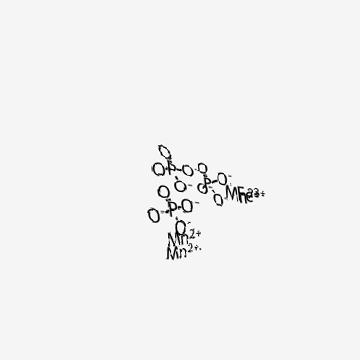 O=P([O-])([O-])[O-].O=P([O-])([O-])[O-].O=P([O-])([O-])[O-].[Fe+3].[Mn+2].[Mn+2].[Mn+2]